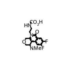 CNC1COCc2c1c1cc(F)c(F)cc1c(=O)n2CCNC(=O)O